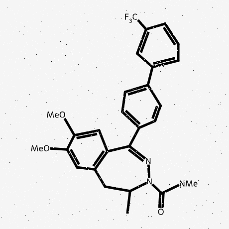 CNC(=O)N1N=C(c2ccc(-c3cccc(C(F)(F)F)c3)cc2)c2cc(OC)c(OC)cc2CC1C